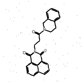 O=C(CCN1C(=O)c2cccc3cccc(c23)C1=O)N1CCc2ccccc2C1